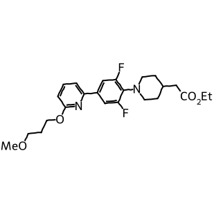 CCOC(=O)CC1CCN(c2c(F)cc(-c3cccc(OCCCOC)n3)cc2F)CC1